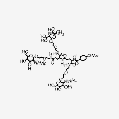 COC1CCC(C(=O)NC(CCC(=O)NC(CCC(=O)NCCOCCOC2OC(CO)C(O)C(O)C2NC(C)=O)C(=O)NCCOCCOC(OC(C)CO)C(NC(C)=O)C(O)O)C(=O)NCCOCCOC2OC(CO)C(O)C(O)C2NC(C)=O)CC1